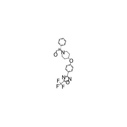 O=C[C@H](c1ccccc1)N1CCC(Oc2ccc(-c3noc(C(F)(F)F)n3)cc2)CC1